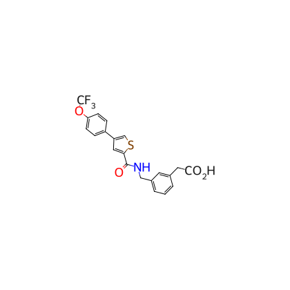 O=C(O)Cc1cccc(CNC(=O)c2cc(-c3ccc(OC(F)(F)F)cc3)cs2)c1